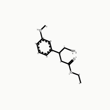 CCOC(=O)CC(CN)c1cccc(OC)c1